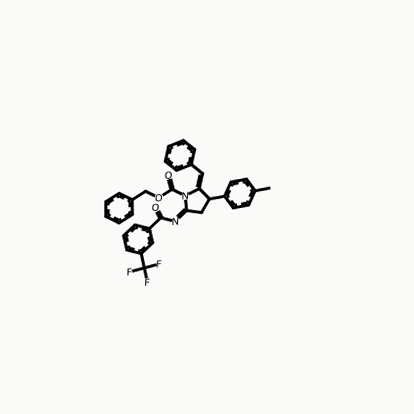 Cc1ccc(C2C/C(=N/C(=O)c3cccc(C(F)(F)F)c3)N(C(=O)OCc3ccccc3)/C2=C\c2ccccc2)cc1